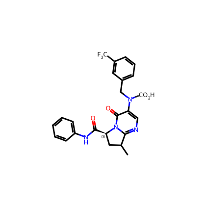 CC1C[C@@H](C(=O)Nc2ccccc2)n2c1ncc(N(Cc1cccc(C(F)(F)F)c1)C(=O)O)c2=O